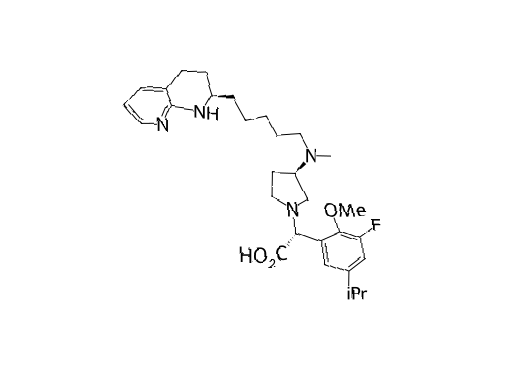 COc1c(F)cc(C(C)C)cc1[C@H](C(=O)O)N1CC[C@@H](N(C)CCCCC[C@@H]2CCc3cccnc3N2)C1